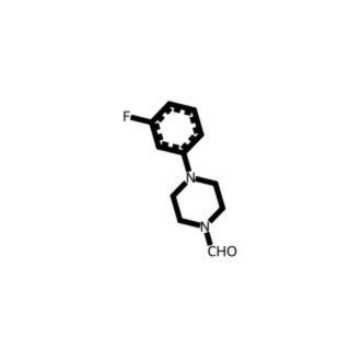 O=CN1CCN(c2cccc(F)c2)CC1